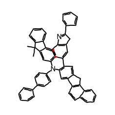 CC1(C)c2ccccc2-c2ccc(N(c3ccc(-c4ccccc4)cc3)c3cc4c(cc3-c3ccc5c(c3)CC(c3ccccc3)=N5)Cc3c-4ccc4ccccc34)cc21